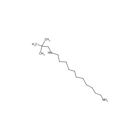 CC(C)(C)CNCCCCCCCCCCCN